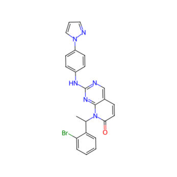 CC(c1ccccc1Br)n1c(=O)ccc2cnc(Nc3ccc(-n4cccn4)cc3)nc21